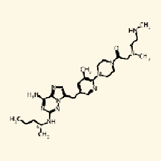 CCC[C@H](C)Nc1nc(N)c2ncc(Cc3cnc(N4CCN(C(=O)CN(C)CCNC)CC4)c(C)c3)n2n1